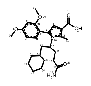 COc1ccc(-c2cc(C(=O)O)c(C)n2C(CCC(N)=O)CC2CCCCC2)c(OC)c1